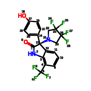 O=C1Nc2c(C(F)(F)F)cccc2[C@]1(c1ccc(O)cc1)N1CC(F)(F)C(F)(F)C1